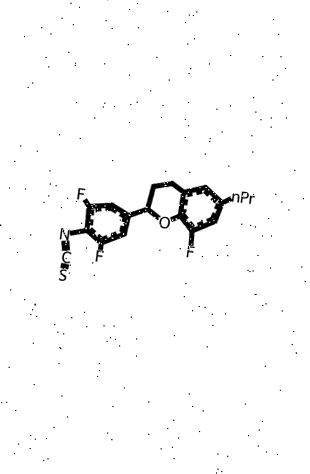 CCCc1cc(F)c2c(c1)CCC(c1cc(F)c(N=C=S)c(F)c1)O2